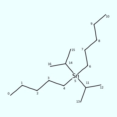 CCCC[CH2][Sn]([CH2]CCCC)([CH](C)C)[CH](C)C